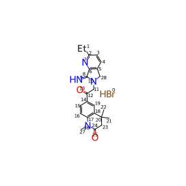 Br.CCc1ccc2c(n1)C(=N)N(CC(=O)c1ccc3c(c1)C(C)(C)CC(=O)N3C)C2